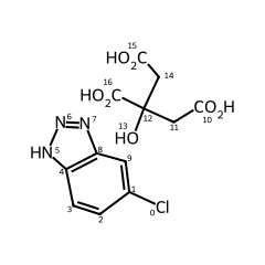 Clc1ccc2[nH]nnc2c1.O=C(O)CC(O)(CC(=O)O)C(=O)O